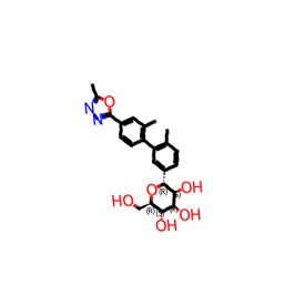 Cc1nnc(-c2ccc(-c3cc([C@H]4O[C@H](CO)[C@@H](O)[C@H](O)[C@@H]4O)ccc3C)c(C)c2)o1